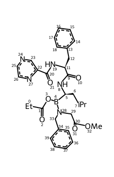 CCC(=O)OB([C@H](CC(C)C)NC(=O)[C@H](Cc1ccccc1)NC(=O)c1cnccn1)N(CC(=O)OC)Cc1ccccc1